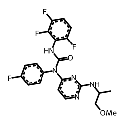 COCC(C)Nc1nccc(N(C(=O)Nc2c(F)ccc(F)c2F)c2ccc(F)cc2)n1